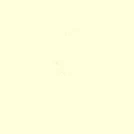 O=C(NN1C(=O)c2ccccc2C1=O)OC1CC1